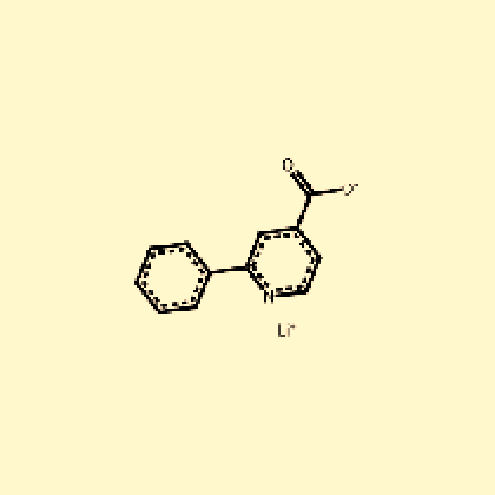 O=C([O-])c1ccnc(-c2ccccc2)c1.[Li+]